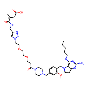 CCCCCNc1nc(N)nc2ccn(Cc3ccc(CN4CCN(C(=O)CCOCCOCCn5cc(CNC(=O)[C@@H](C)CC(=O)O)nn5)CC4)cc3OC)c12